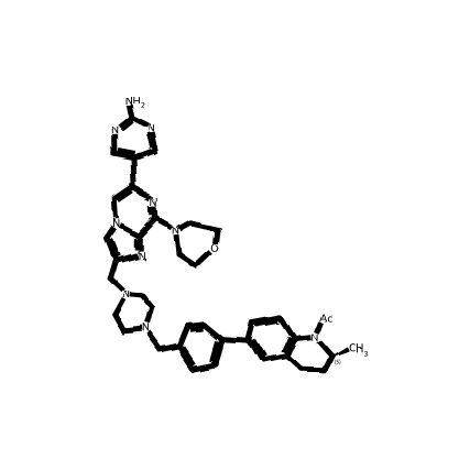 CC(=O)N1c2ccc(-c3ccc(CN4CCN(Cc5cn6cc(-c7cnc(N)nc7)nc(N7CCOCC7)c6n5)CC4)cc3)cc2CC[C@@H]1C